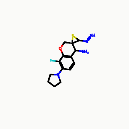 N=NC1S[C@]12COc1c(ccc(N3CCCC3)c1F)C2N